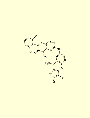 CCc1[nH]nc(Oc2ncc(Nc3ncc4cc(-c5c(Cl)cccc5Cl)c(=O)n(C)c4n3)cc2CN)c1CC